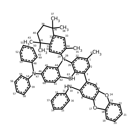 Cc1cc(-c2cc3c(cc2Nc2ccccc2)Oc2ccccc2O3)c2c(c1)N(c1cc3c(cc1C)C(C)(C)CCC3(C)C)c1cc(N(c3ccccc3)c3ccccc3)ccc1B2